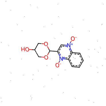 [O-][n+]1cc(C2OCC(O)CO2)[n+]([O-])c2ccccc21